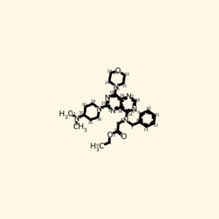 CCOC(=O)CN(Cc1ccccc1)c1ncnc2c(N3CCOCC3)nc(N3CCC(N(C)C)CC3)nc12